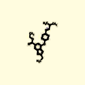 CCOC(=O)c1cc(Oc2cnc(/N=C/N(C)C)cn2)c2cn(CC)nc2c1